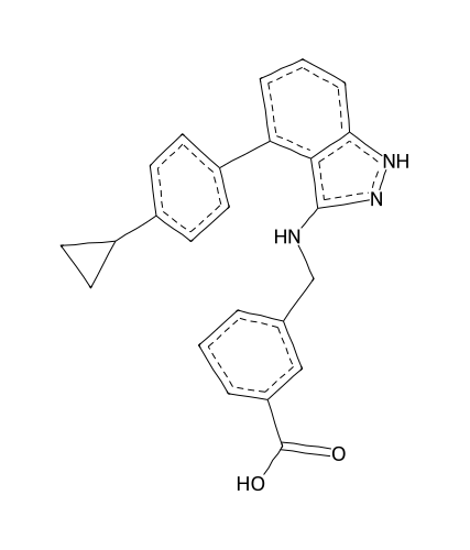 O=C(O)c1cccc(CNc2n[nH]c3cccc(-c4ccc(C5CC5)cc4)c23)c1